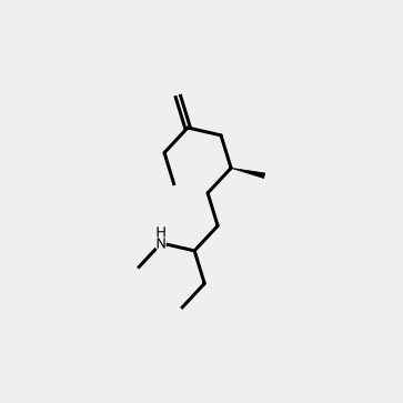 C=C(CC)C[C@@H](C)CCC(CC)NC